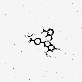 C/C(=C\c1c(NC=O)nc(C)nc1NCc1cccc(C(F)F)c1F)C1CCC(C(=O)N(C)C)CC1